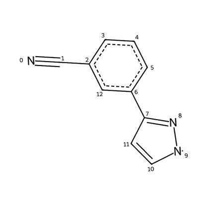 N#Cc1cccc(C2=N[N]C=C2)c1